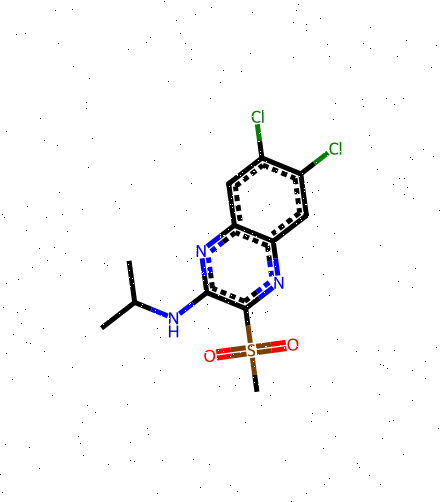 CC(C)Nc1nc2cc(Cl)c(Cl)cc2nc1S(C)(=O)=O